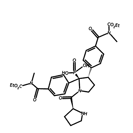 CCOC(=O)N(C)C(=O)c1ccc([C@@H]2CCN(C(=O)[C@@H]3CCCN3)[C@@]2(c2ccc(C(=O)N(C)C(=O)OCC)cc2)P(=O)(O)O)cc1